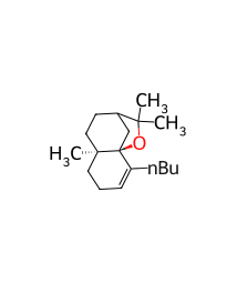 CCCCC1=CCC[C@@]2(C)CCC3C[C@]12OC3(C)C